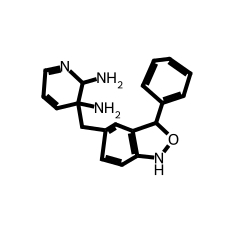 NC1N=CC=CC1(N)Cc1ccc2c(c1)C(c1ccccc1)ON2